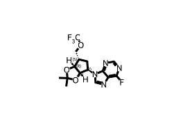 CC1(C)O[C@@H]2[C@H](COC(F)(F)F)C[C@@H](n3cnc4c(F)ncnc43)[C@@H]2O1